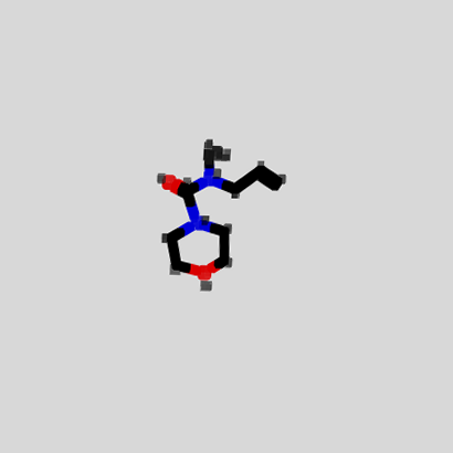 C=CCN(CCCC)C(=O)N1CCOCC1